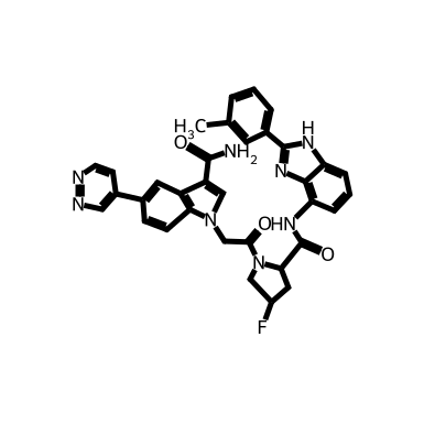 Cc1cccc(-c2nc3c(NC(=O)C4CC(F)CN4C(=O)Cn4cc(C(N)=O)c5cc(-c6ccnnc6)ccc54)cccc3[nH]2)c1